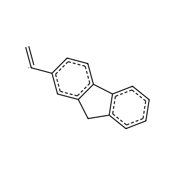 C=[C]c1ccc2c(c1)Cc1ccccc1-2